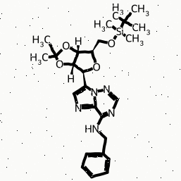 CC1(C)O[C@@H]2[C@H](O1)[C@@H](CO[Si](C)(C)C(C)(C)C)O[C@H]2c1cnc2c(NCc3ccccc3)ncnn12